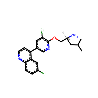 CC(C)C[C@](C)(N)COc1ncc(-c2ccnc3ccc(F)cc23)cc1Cl